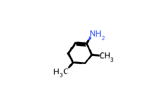 CC1CC=C(N)C(C)C1